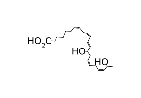 CC(O)/C=C\C/C=C\CC(O)/C=C/C=C\C/C=C\CCCCCC(=O)O